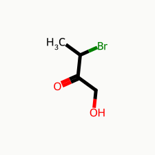 CC(Br)C(=O)CO